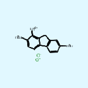 CCCCc1ccc2c(c1)Cc1c-2ccc(CCCC)[c]1[Hf+2].[Cl-].[Cl-]